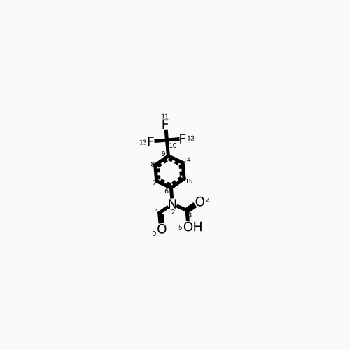 O=CN(C(=O)O)c1ccc(C(F)(F)F)cc1